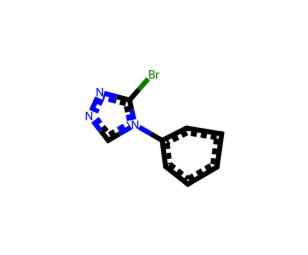 Brc1nncn1-c1ccccc1